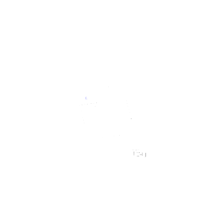 CCC(C)C1CC/C=C/CCC1